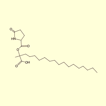 CCCCCCCCCCCCCCCCC(C)(OC(=O)C1CCC(=O)N1)C(=O)O